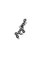 Cc1cc(S(=O)(=O)NC(=O)c2ccc(N3CCN(Cc4ccccc4-c4ccc(Cl)cc4)C(CC(C)C)C3)cc2Oc2ccccc2)ccc1NCC1CCOCC1